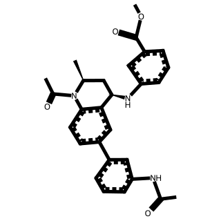 COC(=O)c1cccc(N[C@@H]2C[C@H](C)N(C(C)=O)c3ccc(-c4cccc(NC(C)=O)c4)cc32)c1